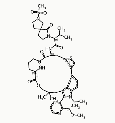 CCn1c(-c2cccnc2[C@H](C)OC)c2c3cc(ccc31)-c1csc(n1)C[C@H](NC(=O)[C@H](C(C)C)N1CCC3(CCN(S(C)(=O)=O)C3)C1=O)C(=O)N1CCC[C@H](N1)C(=O)OCC(C)(C)C2